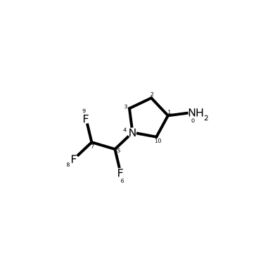 NC1CCN(C(F)C(F)F)C1